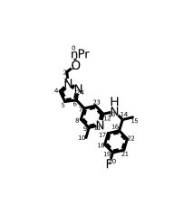 CCCOCn1ccc(-c2cc(C)nc(NC(C)c3ccc(F)cc3)c2)n1